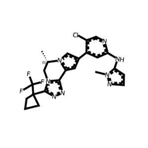 C[C@H]1Cn2c(nnc2C2(C(F)(F)F)CCC2)-c2cc(-c3cc(Nc4ccnn4C)ncc3Cl)cn21